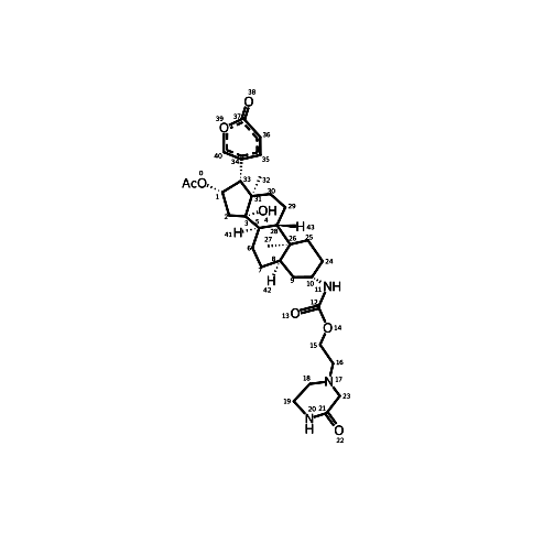 CC(=O)O[C@H]1C[C@]2(O)[C@@H]3CC[C@@H]4C[C@@H](NC(=O)OCCN5CCNC(=O)C5)CC[C@]4(C)[C@H]3CC[C@]2(C)[C@H]1c1ccc(=O)oc1